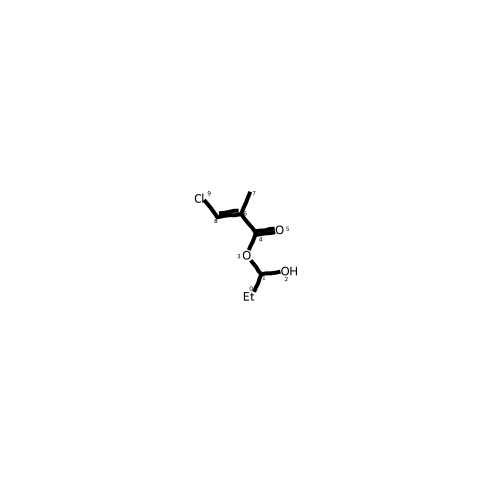 CCC(O)OC(=O)C(C)=CCl